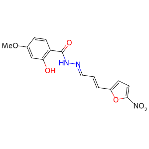 COc1ccc(C(=O)NN=CC=Cc2ccc([N+](=O)[O-])o2)c(O)c1